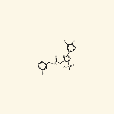 CS(=O)(=O)n1nc(-c2ccc(Cl)c(F)c2)nc1CC(=O)NCc1cccc(F)c1